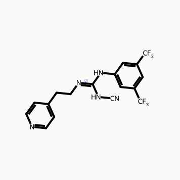 N#CN/C(=N\CCc1ccncc1)Nc1cc(C(F)(F)F)cc(C(F)(F)F)c1